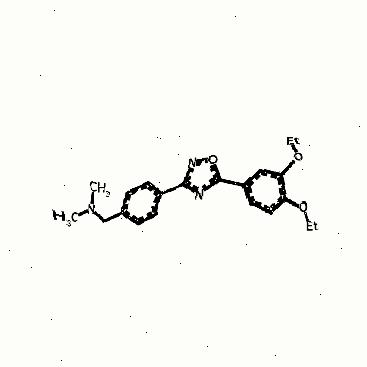 CCOc1ccc(-c2nc(-c3ccc(CN(C)C)cc3)no2)cc1OCC